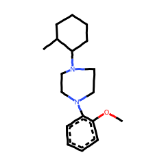 COc1ccccc1N1CCN(C2CCCCC2C)CC1